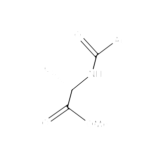 COC(=O)[C@H](C)NC(=O)C(C)=O